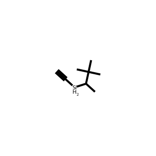 C#C[SiH2]C(C)C(C)(C)C